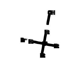 CC[N+](CC)(CC)CC.CO.[Br-]